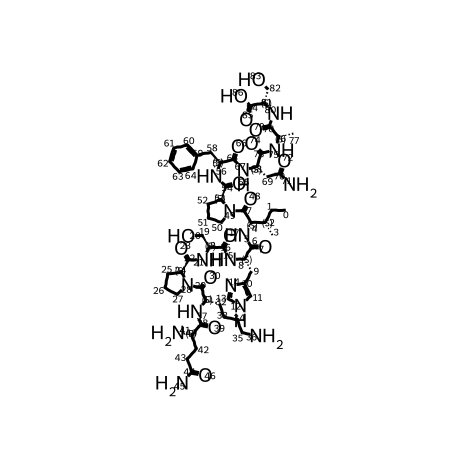 CC[C@H](C)[C@H](NC(=O)[C@H](Cc1c[nH]cn1)NC(=O)[C@H](CO)NC(=O)[C@@H]1CCCN1C(=O)[C@H](CCCCN)NC(=O)[C@@H](N)CCC(N)=O)C(=O)N1CCC[C@H]1C(=O)N[C@@H](Cc1ccccc1)C(=O)N[C@@H](CC(N)=O)C(=O)N[C@@H](C)C(=O)N[C@@H](CO)C(=O)O